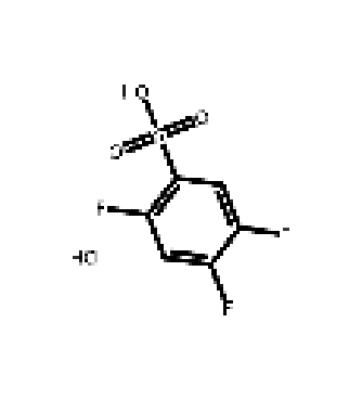 Cl.O=S(=O)(O)c1cc(F)c(F)cc1F